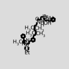 CCN1CCN(c2cc(-c3cccc(CCC(C)(C)CCC(C)(C)CCCNC(=O)C(CC(C)C)NC(=O)C(O)C(N)Cc4ccccc4)c3)nc3c(-c4ccccc4)c(C)nn23)CC1